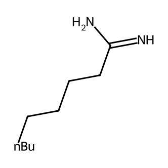 CCCCCCCCC(=N)N